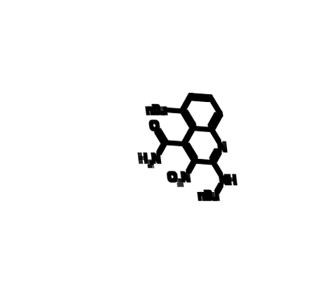 CCCCNc1nc2cccc(CCCC)c2c(C(N)=O)c1[N+](=O)[O-]